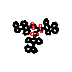 c1ccc2c(-c3c4ccccc4c(B4OCC(C5OB(c6c7ccccc7c(-c7cccc8ccccc78)c7ccccc67)OC5C5COB(c6c7ccccc7c(-c7cccc8ccccc78)c7ccccc67)O5)O4)c4ccccc34)cccc2c1